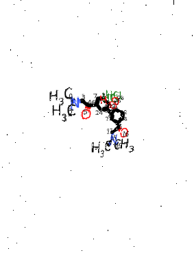 CN(C)CC(=O)c1ccc2oc3ccc(C(=O)CN(C)C)cc3c2c1.Cl.Cl.O